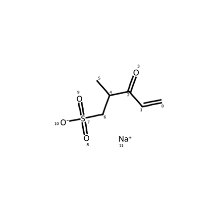 C=CC(=O)C(C)CS(=O)(=O)[O-].[Na+]